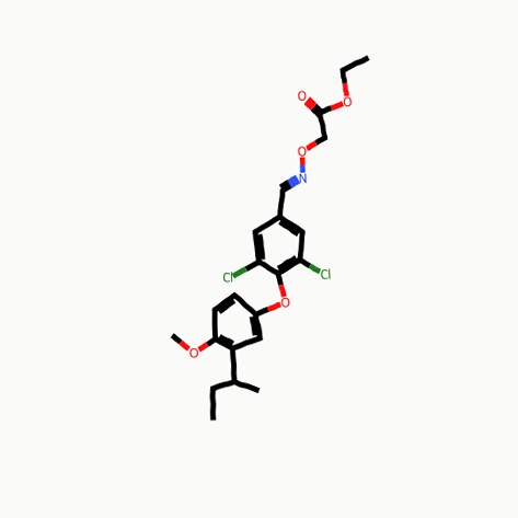 CCOC(=O)CON=Cc1cc(Cl)c(Oc2ccc(OC)c(C(C)CC)c2)c(Cl)c1